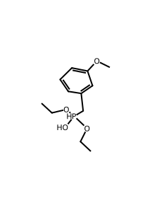 CCO[PH](O)(Cc1cccc(OC)c1)OCC